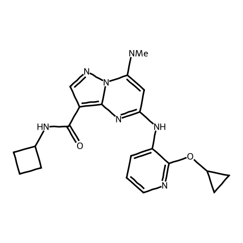 CNc1cc(Nc2cccnc2OC2CC2)nc2c(C(=O)NC3CCC3)cnn12